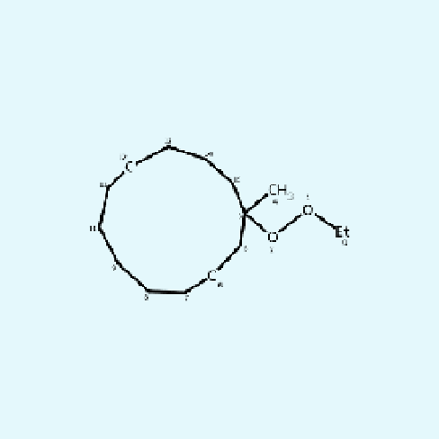 CCOOC1(C)CCCCCCCCCCC1